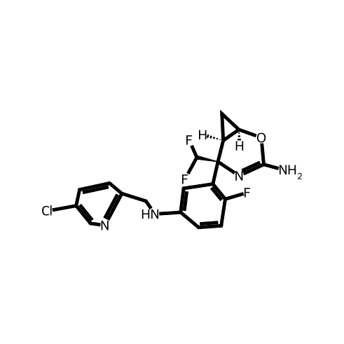 NC1=N[C@@](c2cc(NCc3ccc(Cl)cn3)ccc2F)(C(F)F)[C@H]2C[C@H]2O1